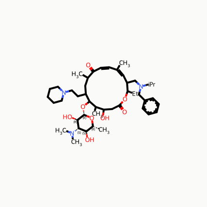 CCC1OC(=O)CC(O)C(C)C(O[C@@H]2O[C@H](C)[C@@H](O)[C@H](N(C)C)[C@H]2O)C(CCN2CCCCC2)CC(C)C(=O)C=CC(C)=CC1CN(Cc1ccccc1)C(C)C